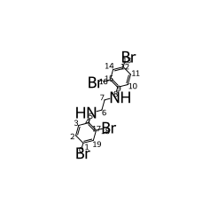 Brc1ccc(NCCNc2ccc(Br)cc2Br)c(Br)c1